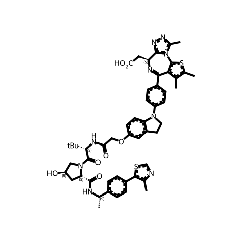 Cc1ncsc1-c1ccc([C@H](C)NC(=O)[C@@H]2C[C@@H](O)CN2C(=O)[C@@H](NC(=O)COc2ccc3c(c2)CCN3c2ccc(C3=N[C@@H](CC(=O)O)c4nnc(C)n4-c4sc(C)c(C)c43)cc2)C(C)(C)C)cc1